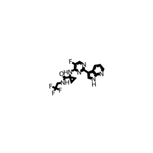 O=C(NCC(F)(F)F)C1(Nc2nc(-c3c[nH]c4ncccc34)ncc2F)CC1